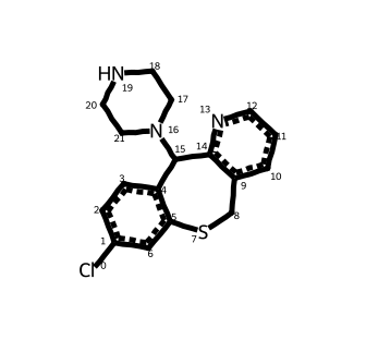 Clc1ccc2c(c1)SCc1cccnc1C2N1CCNCC1